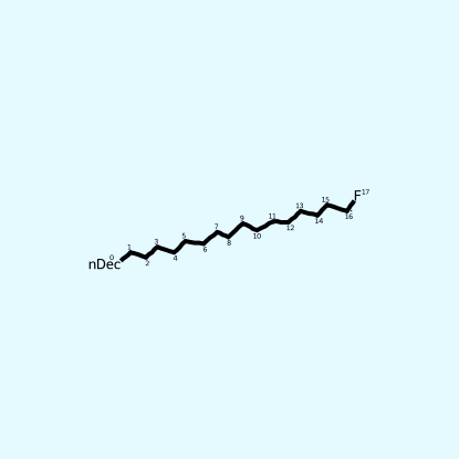 CCCCCCCCCCCCCCCCCCCCCCCCC[CH]F